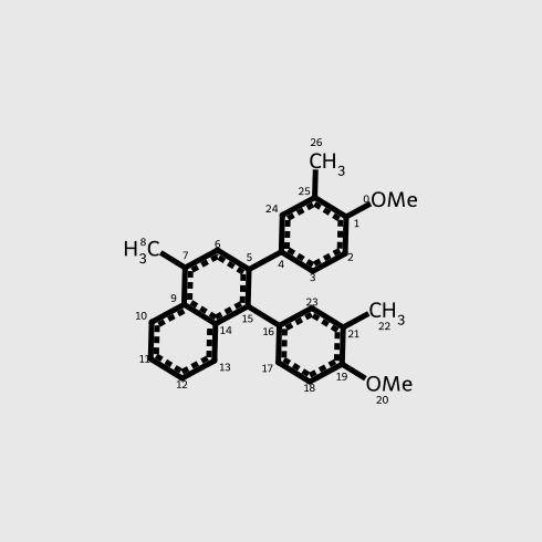 COc1ccc(-c2[c]c(C)c3ccccc3c2-c2ccc(OC)c(C)c2)cc1C